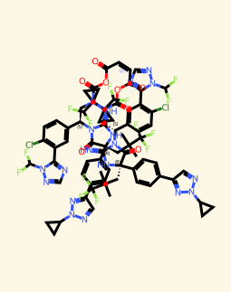 CC(C)(C[C@]1(c2ccc(-c3cnn(C4CC4)n3)cc2)NC(=N)N([C@H](CN(C(=O)OC(=O)/C=C\C(=O)OC(=O)N(C[C@H](c2ccc(Cl)c(-c3ncnn3C(F)F)c2)N2C(=N)N[C@](CC(C)(C)C(F)(F)F)(c3ccc(-c4cnn(C5CC5)n4)cc3)C2=O)C2(C(F)F)CC2)C2(C(F)F)CC2)c2ccc(Cl)c(-c3ncnn3C(F)F)c2)C1=O)C(F)(F)F